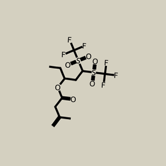 C=C(C)CC(=O)OC(CC)CC(S(=O)(=O)C(F)(F)F)S(=O)(=O)C(F)(F)F